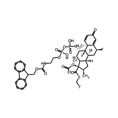 CCC(=O)O[C@]1(C(=O)SCF)[C@H](C)C[C@H]2[C@@H]3C[C@H](F)C4=CC(=O)C=C[C@]4(C)[C@@]3(F)[C@@H](OP(=O)(O)OP(=O)(O)OCCNC(=O)OCC3c4ccccc4-c4ccccc43)C[C@@]21C